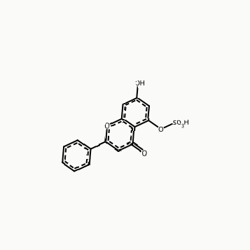 O=c1cc(-c2ccccc2)oc2cc(O)cc(OS(=O)(=O)O)c12